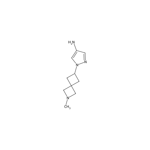 CN1CC2(CC(n3cc(N)cn3)C2)C1